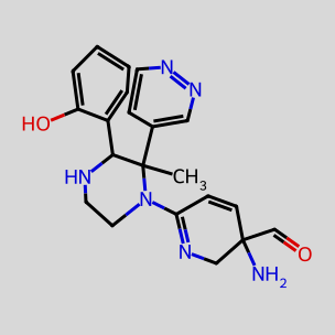 CC1(c2ccnnc2)C(c2ccccc2O)NCCN1C1=NCC(N)(C=O)C=C1